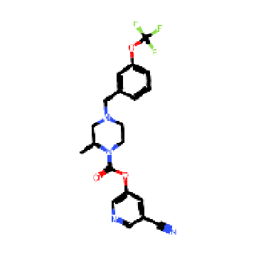 CC1CN(Cc2cccc(OC(F)(F)F)c2)CCN1C(=O)Oc1cncc(C#N)c1